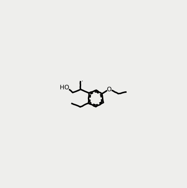 [CH2]C(CO)c1cc(OCC)ccc1CC